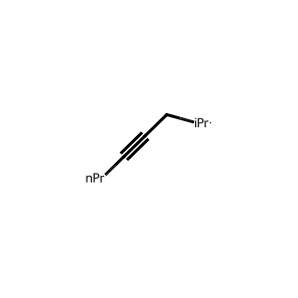 CCCC#CC[C](C)C